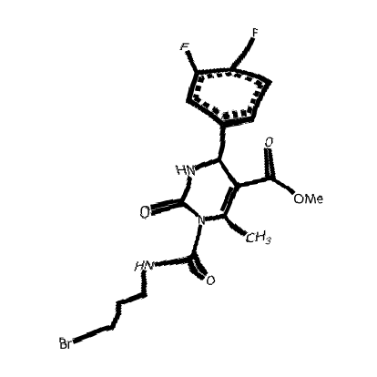 COC(=O)C1=C(C)N(C(=O)NCCCBr)C(=O)NC1c1ccc(F)c(F)c1